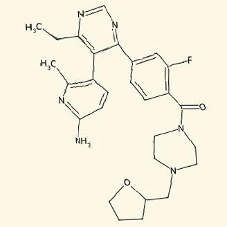 CCc1ncnc(-c2ccc(C(=O)N3CCN(CC4CCCO4)CC3)c(F)c2)c1-c1ccc(N)nc1C